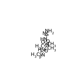 Cc1cc(NC(=O)c2c(C)c(C(=O)C(=O)NCc3cnc(N)s3)n(C)c2C)cnc1F